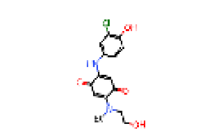 CCN(CCO)C1=CC(=O)C(Nc2ccc(O)c(Cl)c2)=CC1=O